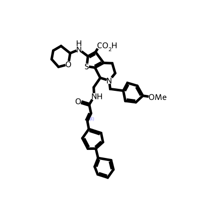 COc1ccc(CN2CCc3c(sc(NC4CCCCO4)c3C(=O)O)C2CNC(=O)/C=C/c2ccc(-c3ccccc3)cc2)cc1